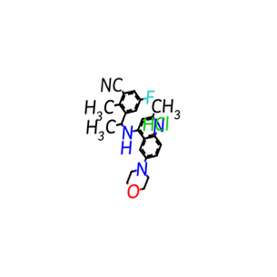 Cc1cc(NC(C)c2cc(F)cc(C#N)c2C)c2cc(N3CCOCC3)ccc2n1.Cl